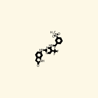 CS(=O)(=O)c1cccc(CNc2nc(Nc3ccc4c(c3)NC(=O)C4)ncc2C(F)(F)F)c1